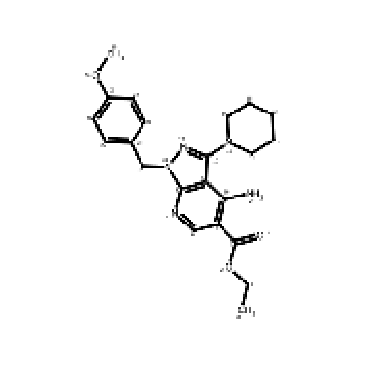 CCOC(=O)c1cnc2c(c(N3CCCCC3)nn2Cc2ccc(OC)cc2)c1N